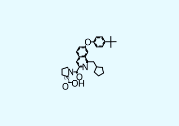 CC(C)(C)c1ccc(Oc2ccc3cc(C(=O)N4CCC[C@H]4C(=O)O)nc(CC4CCCC4)c3c2)cc1